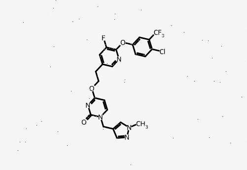 Cn1cc(Cn2ccc(OCCc3cnc(Oc4ccc(Cl)c(C(F)(F)F)c4)c(F)c3)nc2=O)cn1